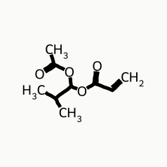 C=CC(=O)OC(OC(C)=O)C(C)C